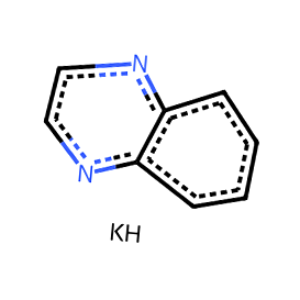 [KH].c1ccc2nccnc2c1